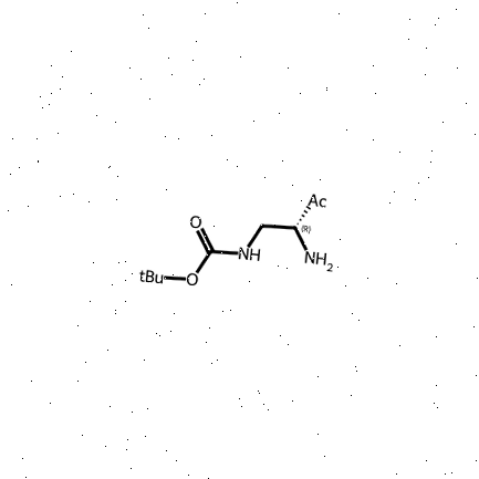 CC(=O)[C@H](N)CNC(=O)OC(C)(C)C